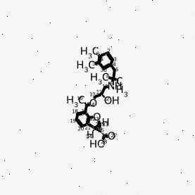 Cc1ccc(CC(C)(C)NC[C@@H](O)CO[C@H](C)c2cccc3c2O[C@H]2[C@H](C(=O)O)[C@@H]32)cc1C